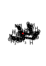 CC1(C)[C@H](NC(=O)c2ccc(NCCCCNc3ccc4c(c3)C(=O)N(C3CCC(=O)NC3=O)C4=O)c(-c3cc(NCCCNc4ccc5c(c4)C(=O)N(C4CCC(=O)NC4=O)C5=O)ccc3C(=O)N[C@H]3C(C)(C)[C@H](Oc4ccc(C#N)c(Cl)c4)C3(C)C)c2)C(C)(C)[C@H]1Oc1ccc(C#N)c(Cl)c1